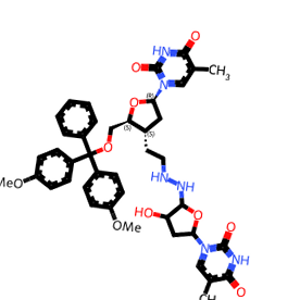 COc1ccc(C(OC[C@H]2O[C@@H](n3cc(C)c(=O)[nH]c3=O)C[C@@H]2CCNNC2OC(n3cc(C)c(=O)[nH]c3=O)CC2O)(c2ccccc2)c2ccc(OC)cc2)cc1